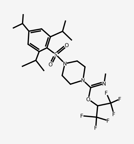 C/N=C(/OC(C(F)(F)F)C(F)(F)F)N1CCN(S(=O)(=O)c2c(C(C)C)cc(C(C)C)cc2C(C)C)CC1